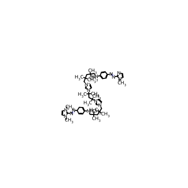 Cn1ccnc1/N=N/c1ccc(NCC(C)(C)CC(C)(C)C[n+]2ccn(C(C)(C)CC(C)(C)[n+]3ccn(CC(C)(C)CC(C)(C)CNC4=CCC(/N=N/c5n(C)cc[n+]5C)C=C4)c3)c2)cc1